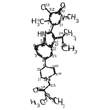 Cc1c(-c2[nH]c3ccc(C4CCN(CC(=O)N(C)C)CC4)cc3c2C(C)C)cn(C)c(=O)c1Cl